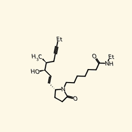 CCC#CC[C@H](C)[C@H](O)C=C[C@H]1CCC(=O)N1CCCCCCC(=O)NCC